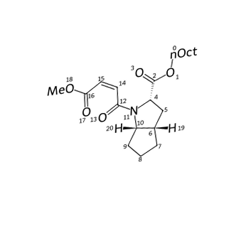 CCCCCCCCOC(=O)[C@@H]1C[C@@H]2CCC[C@@H]2N1C(=O)/C=C\C(=O)OC